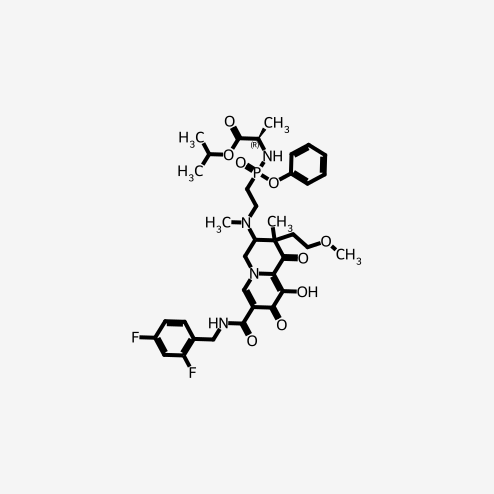 COCCC1(C)C(=O)c2c(O)c(=O)c(C(=O)NCc3ccc(F)cc3F)cn2CC1N(C)CCP(=O)(N[C@H](C)C(=O)OC(C)C)Oc1ccccc1